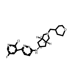 Fc1cnc(Cl)c(-c2ccc(N[C@H]3C[C@@H]4CN(CC5CCOCC5)C[C@@H]4C3)nn2)c1